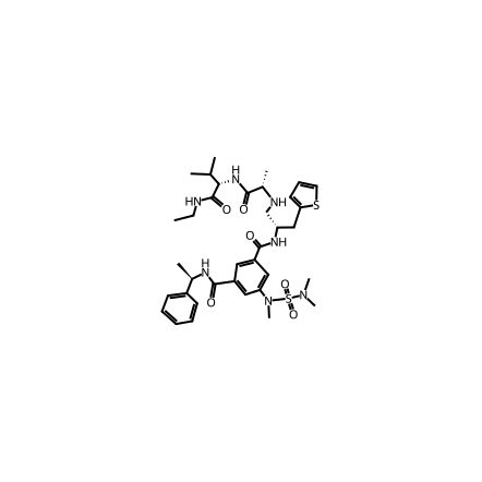 CCNC(=O)[C@@H](NC(=O)[C@H](C)NC[C@H](Cc1cccs1)NC(=O)c1cc(C(=O)N[C@H](C)c2ccccc2)cc(N(C)S(=O)(=O)N(C)C)c1)C(C)C